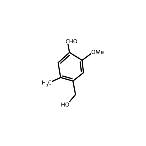 COc1cc(CO)c(C)cc1C=O